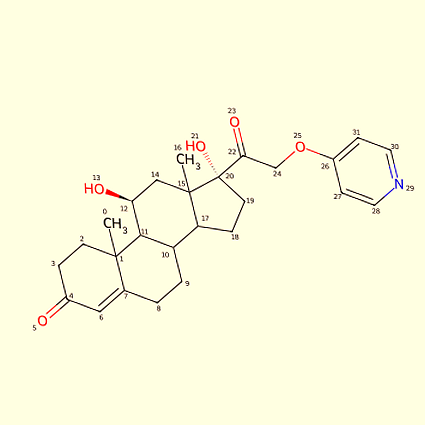 CC12CCC(=O)C=C1CCC1C2[C@@H](O)CC2(C)C1CC[C@]2(O)C(=O)COc1ccncc1